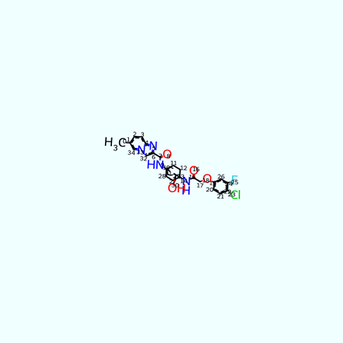 Cc1ccc2nc(C(=O)NC34CCC(NC(=O)COc5ccc(Cl)c(F)c5)(CC3)C(O)C4)cn2c1